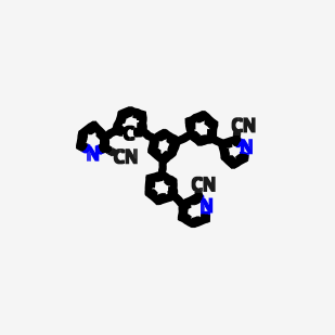 N#Cc1ncccc1-c1cccc(-c2cc(-c3cccc(-c4cccnc4C#N)c3)cc(-c3cccc(-c4cccnc4C#N)c3)c2)c1